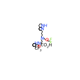 O=C(NC(CCN(CCCCc1ccc2c(n1)NCCC2)CCOCC(F)F)C(=O)O)c1ccccc1C(F)(F)F